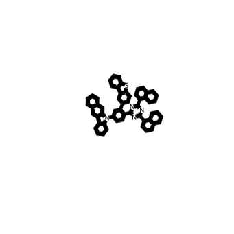 c1ccc2cc3c(cc2c1)c1ccccc1n3-c1ccc(-c2nc(-c3cccc4ccccc34)nc(-c3cccc4ccccc34)n2)c(-c2ccc3sc4ccccc4c3c2)c1